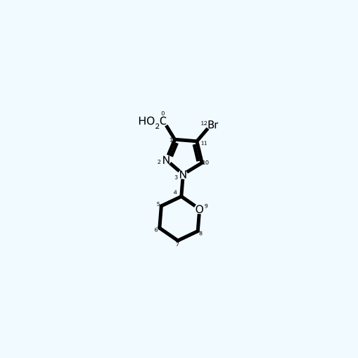 O=C(O)c1nn(C2CCCCO2)cc1Br